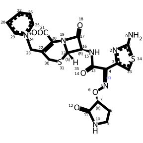 Nc1nc(/C(=N/O[C@@H]2CCNC2=O)C(=O)N[C@@H]2C(=O)N3C(C(=O)[O-])=C(C[n+]4ccccc4)CS[C@@H]23)cs1